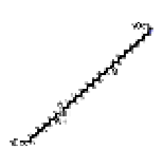 CCCCCCCC/C=C\CCCCCCCCCCCC(=O)CCCCCCCCCCCCCCC(=O)NCC(O)CCCCCCCCCCCCCCCCCC